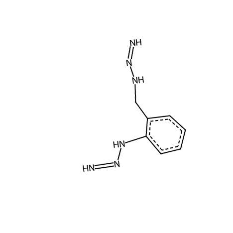 N=NNCc1ccccc1NN=N